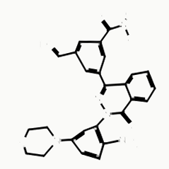 C=Cc1cc(C(=O)N(C)C)cc(-c2nn(-c3cc(N4CCOCC4)ccc3[N+](=O)[O-])c(=O)c3ccccc23)c1